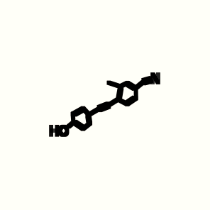 Cc1cc(C#N)ccc1C#Cc1ccc(O)cc1